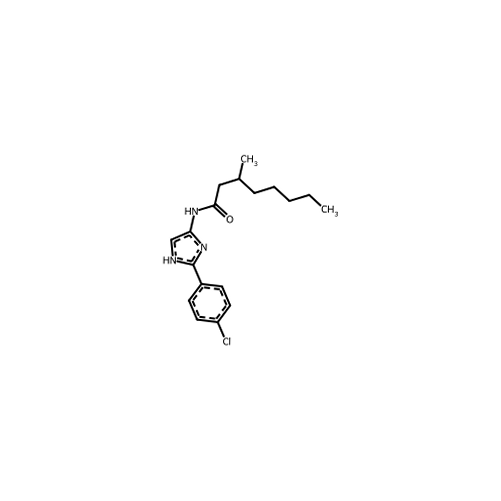 CCCCCC(C)CC(=O)Nc1c[nH]c(-c2ccc(Cl)cc2)n1